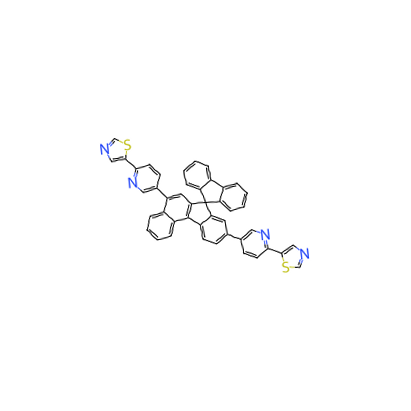 c1ccc2c(c1)-c1ccccc1C21c2cc(-c3ccc(-c4cncs4)nc3)ccc2-c2c1cc(-c1ccc(-c3cncs3)nc1)c1ccccc21